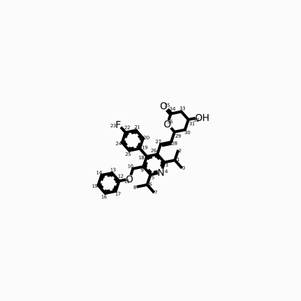 CC(C)c1nc(C(C)C)c(COc2ccccc2)c(-c2ccc(F)cc2)c1C=CC1CC(O)CC(=O)O1